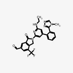 CCNc1cc(-c2ccccc2-c2nncn2C)cc(N2Cc3c(cc(C=O)cc3C(F)(F)F)C2=O)n1